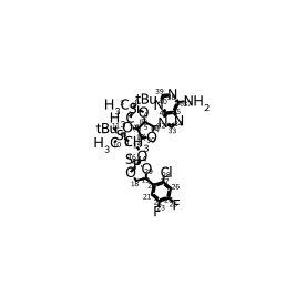 CC(C)(C)[Si](C)(C)O[C@@H]1[C@H](O[Si](C)(C)C(C)(C)C)[C@@H](COP2(=S)OCC(c3cc(F)c(F)cc3Cl)O2)O[C@H]1n1cnc2c(N)ncnc21